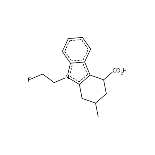 CC1Cc2c(c3ccccc3n2CCF)C(C(=O)O)C1